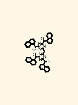 O=C(c1nc(Cc2nc(C(=O)c3cccc4ccccc34)nc(C(=O)c3cccc4ccccc34)n2)nc(C(=O)c2cccc3ccccc23)n1)c1cccc2ccccc12